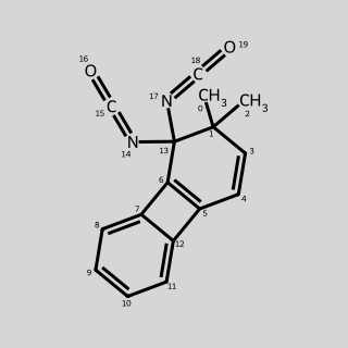 CC1(C)C=CC2=C(c3ccccc32)C1(N=C=O)N=C=O